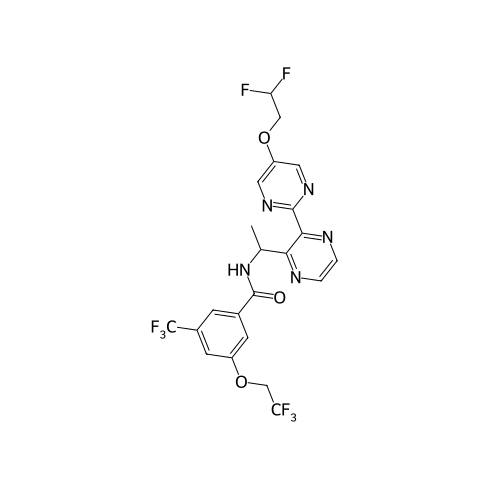 CC(NC(=O)c1cc(OCC(F)(F)F)cc(C(F)(F)F)c1)c1nccnc1-c1ncc(OCC(F)F)cn1